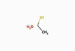 CCS.O